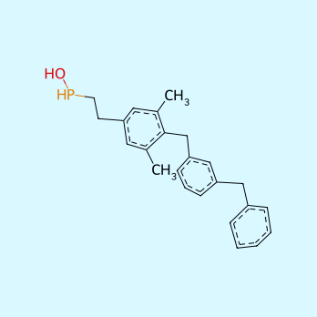 Cc1cc(CCPO)cc(C)c1Cc1cccc(Cc2ccccc2)c1